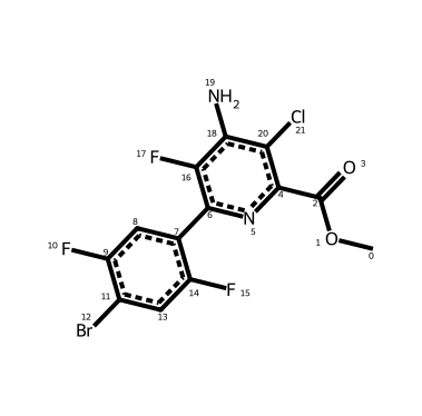 COC(=O)c1nc(-c2cc(F)c(Br)cc2F)c(F)c(N)c1Cl